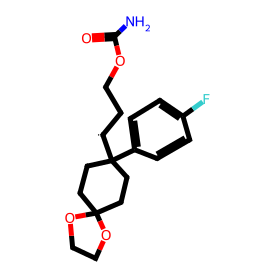 NC(=O)OCC[CH]C1(c2ccc(F)cc2)CCC2(CC1)OCCO2